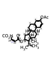 CC(=O)Oc1ccc2c(c1)CC[C@@H]1[C@@H]2CC[C@]2(C)[C@@H](N(C)C)[C@H](OC(=O)/C=C\C(=O)O)C[C@@H]12